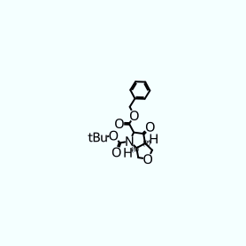 CC(C)(C)OC(=O)N1C(C(=O)OCc2ccccc2)C(=O)[C@H]2COC[C@H]21